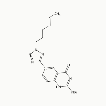 C/C=C/CCCn1nnc(-c2ccc3[nH]c(CCCC)nc(=O)c3c2)n1